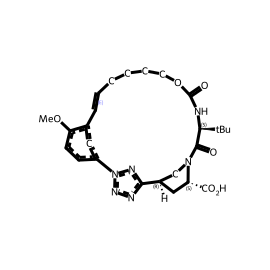 COc1ccc2cc1/C=C/CCCCOC(=O)N[C@@H](C(C)(C)C)C(=O)N1C[C@@H](C[C@H]1C(=O)O)c1nnn-2n1